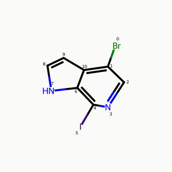 Brc1cnc(I)c2[nH]ccc12